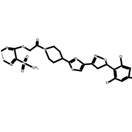 CS(=O)(=O)c1nccnc1OCC(=O)N1CCC(c2nc(C3=NOC(c4c(Cl)cc(Cl)cc4Cl)C3)cs2)CC1